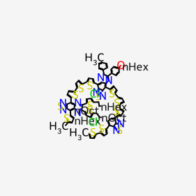 CCCCCCCCC(CCCCCC)Cc1sc(-c2nc3c(-c4ccc(C)s4)c4nsnc4c(-c4ccc(-c5ccc(-c6ccc(-c7c8nsnc8c(-c8ccc(-c9ccc(-c%10ccc(-c%11ccc(-c%12ccc(-c%13ccc(C)s%13)s%12)c%12nsnc%11%12)s%10)s9)s8)c8nc(-c9ccc(OCCCCCC)cc9)c(-c9ccc(C)cc9)nc78)s6)s5)s4)c3nc2-c2cc(Cl)c(CC(CCCCCC)CCCCCCCC)s2)cc1Cl